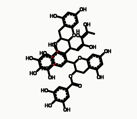 C/C(O)=C(O)\C(O)=C/C(c1c(C2Oc3cc(O)cc(O)c3CC2OC(=O)c2cc(O)c(O)c(O)c2)cc(O)c(O)c1O)C1Oc2cc(O)cc(O)c2CC1OC(=O)c1cc(O)c(O)c(O)c1